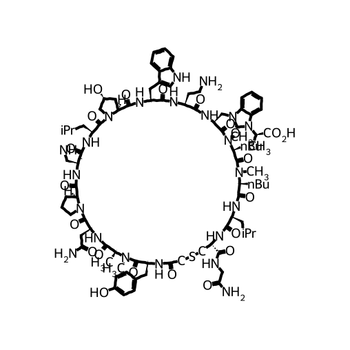 CCCC[C@H]1C(=O)N(C)[C@@H](CCCC)C(=O)N[C@@H](CC(C)C)C(=O)N[C@H](C(=O)NCC(N)=O)CSCC(=O)N[C@@H](Cc2ccc(O)cc2)C(=O)N(C)[C@@H](C)C(=O)N[C@@H](CC(N)=O)C(=O)N2CCC[C@H]2C(=O)N[C@@H](CN)C(=O)N[C@@H](CC(C)C)C(=O)N2C[C@H](O)C[C@H]2C(=O)N[C@@H](Cc2c[nH]c3ccccc23)C(=O)N[C@@H](CCN)C(=O)N[C@@H](Cn2c(=O)n([C@H](C)C(=O)O)c3ccccc32)C(=O)N1C